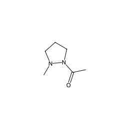 CC(=O)N1CCCN1C